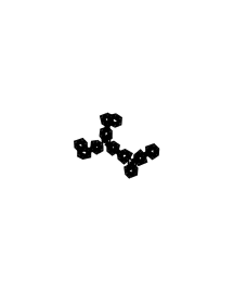 C1=CC2=C(C=CCC2c2ccc(N(C3=CCC(C4=CCCC5=C4CCC=C5)C=C3)C3=CC=C(C4=CC=C(N(c5ccccc5)c5ccc(-c6ccccc6)cc5)CC4)CC3)cc2)CC1